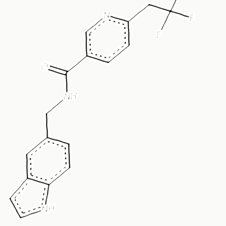 O=C(NCc1ccc2[nH]ccc2c1)c1ccc(CC(F)(F)F)nc1